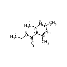 CCOC(=O)c1c(C)nc(C)nc1C